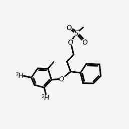 [2H]c1cc([2H])c(OC(CCOS(C)(=O)=O)c2ccccc2)c(C)c1